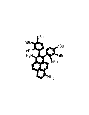 CCCCc1ccc(-c2c(N)c3ccc4ccc(N)c5ccc(c2-c2ccc(CCCC)c(CCCC)c2CCCC)c3c45)c(CCCC)c1CCCC